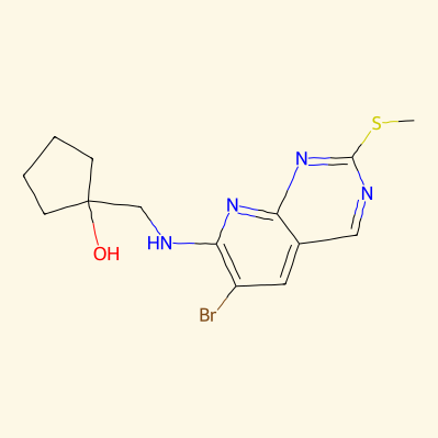 CSc1ncc2cc(Br)c(NCC3(O)CCCC3)nc2n1